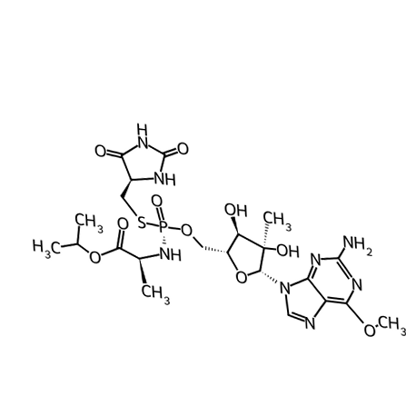 COc1nc(N)nc2c1ncn2[C@@H]1O[C@H](CO[P@@](=O)(N[C@@H](C)C(=O)OC(C)C)SC[C@@H]2NC(=O)NC2=O)[C@@H](O)[C@@]1(C)O